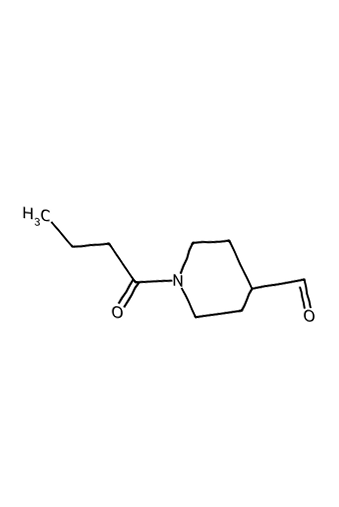 CCCC(=O)N1CCC(C=O)CC1